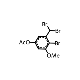 COc1cc(OC(C)=O)cc(C(Br)Br)c1Br